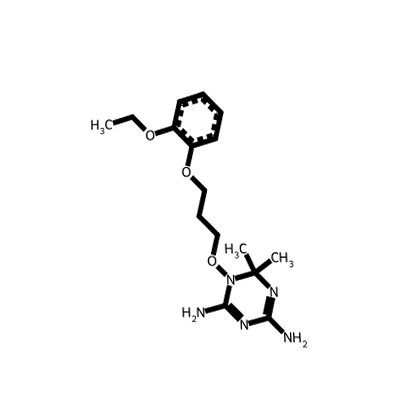 CCOc1ccccc1OCCCON1C(N)=NC(N)=NC1(C)C